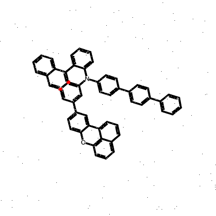 c1ccc(-c2ccc(-c3ccc(N(c4cccc(-c5ccc6c(c5)-c5cccc7cccc(c57)O6)c4)c4ccccc4-c4cccc5ccccc45)cc3)cc2)cc1